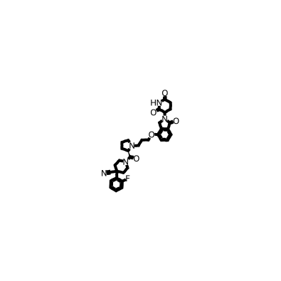 N#CC1(c2ccccc2F)CCN(C(=O)[C@H]2CCCN2CCCOc2cccc3c2CN(C2CCC(=O)NC2=O)C3=O)CC1